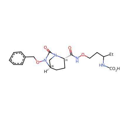 CCC(CCONC(=O)[C@@H]1CC[C@@H]2CN1C(=O)N2OCc1ccccc1)NC(=O)O